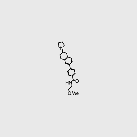 COCCNC(=O)c1ccc(-c2ccc3c(c2)CCC(N2CCCC2)C3)cc1